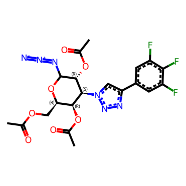 CC(=O)OC[C@H]1OC(N=[N+]=[N-])[C@H](OC(C)=O)[C@@H](n2cc(-c3cc(F)c(F)c(F)c3)nn2)[C@H]1OC(C)=O